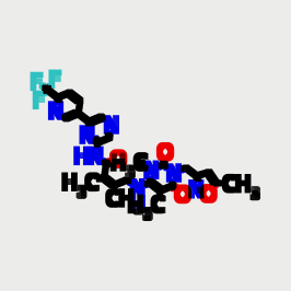 C/C(CNc1c(C)c(=O)n(Cc2cc(C)on2)c(=O)n1C)=C(\C)C(=O)Nc1cncc(-c2ccc(C(F)(F)F)nc2)n1